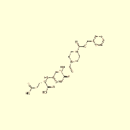 O=C(O)CC[C@H](NC(=O)C[C@@H](NC(=O)N1CCN(C(=O)OCc2ccccc2)CC1)C(=O)O)C(=O)O